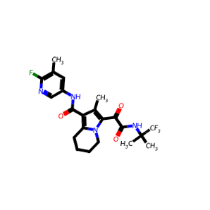 Cc1cc(NC(=O)c2c(C)c(C(=O)C(=O)NC(C)(C)C(F)(F)F)n3c2CCCC3)cnc1F